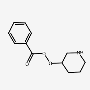 O=C(OOC1CCCNC1)c1ccccc1